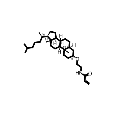 C=CC(=O)NCCO[C@H]1CC[C@@]2(C)[C@@H](CC[C@@H]3[C@@H]2CC[C@]2(C)[C@@H]([C@H](C)CCCC(C)C)CC[C@@H]32)C1